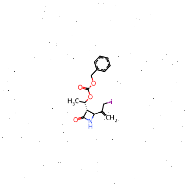 C=C(CI)[C@H]1NC(=O)[C@@H]1C(C)OC(=O)OCc1ccccc1